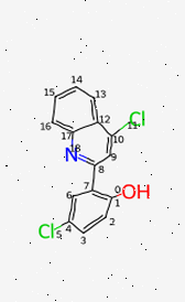 Oc1ccc(Cl)cc1-c1cc(Cl)c2ccccc2n1